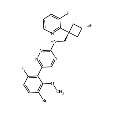 COc1c(Br)ccc(F)c1-c1cnc(NC[C@]2(c3ncccc3F)C[C@@H](F)C2)nn1